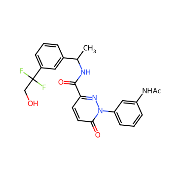 CC(=O)Nc1cccc(-n2nc(C(=O)NC(C)c3cccc(C(F)(F)CO)c3)ccc2=O)c1